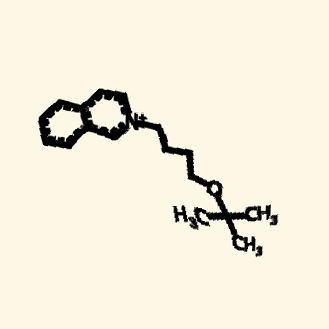 CC(C)(C)OCCCC[n+]1ccc2ccccc2c1